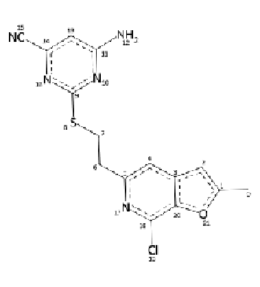 Cc1cc2cc(CCSc3nc(N)cc(C#N)n3)nc(Cl)c2o1